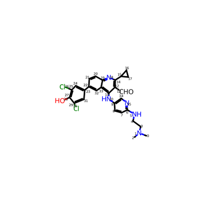 CN(C)CCNc1ccc(Nc2c(C=O)c(C3CC3)nc3ccc(-c4cc(Cl)c(O)c(Cl)c4)cc23)cn1